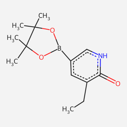 CCc1cc(B2OC(C)(C)C(C)(C)O2)c[nH]c1=O